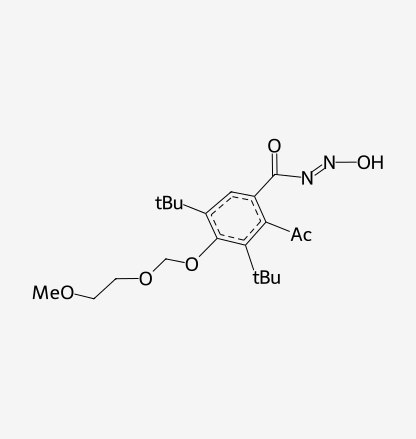 COCCOCOc1c(C(C)(C)C)cc(C(=O)N=NO)c(C(C)=O)c1C(C)(C)C